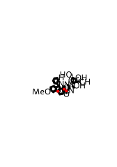 C#C[C@@]1(O)[C@H](O)[C@@H](CO)O[C@@H]1n1cnc2c(=O)[nH]c(NC(c3ccccc3)(c3ccccc3)c3ccc(OC)cc3)nc21